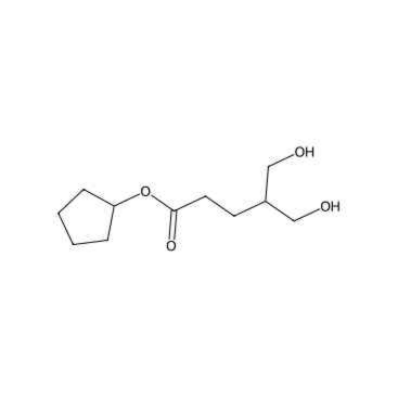 O=C(CCC(CO)CO)OC1CCCC1